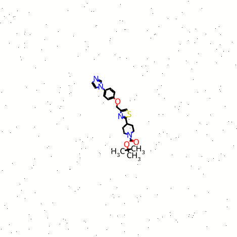 CC(C)(C)OC(=O)N1CCC(c2nc(COc3ccc(-n4ccnc4)cc3)cs2)CC1